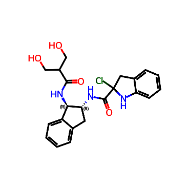 O=C(N[C@@H]1c2ccccc2C[C@H]1NC(=O)C1(Cl)Cc2ccccc2N1)C(CO)CO